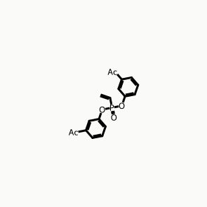 C=CP(=O)(Oc1cccc(C(C)=O)c1)Oc1cccc(C(C)=O)c1